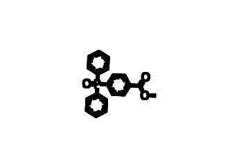 COC(=O)c1ccc(P(=O)(c2ccccc2)c2ccccc2)cc1